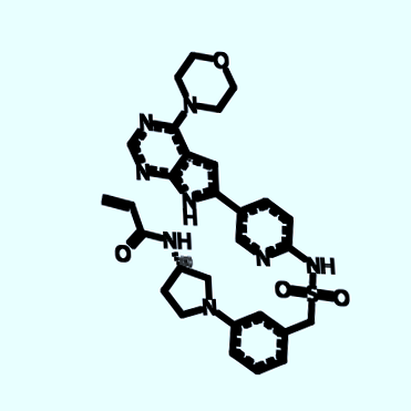 C=CC(=O)N[C@H]1CCN(c2cccc(CS(=O)(=O)Nc3ccc(-c4cc5c(N6CCOCC6)ncnc5[nH]4)cn3)c2)C1